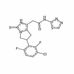 O=C(Cc1[nH]c(=S)n2c1CC(c1c(F)ccc(Cl)c1F)C2)Nc1nncs1